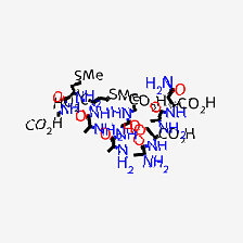 CC(N)C(=O)NC(CO)C(=O)O.CC(N)C(=O)NCC(=O)NCC(=O)O.CC(N)C(=O)N[C@@H](CC(N)=O)C(=O)O.CSCCC(NC(=O)C(C)N)C(=O)O.CSCC[C@H](N)C(=O)NCC(=O)O